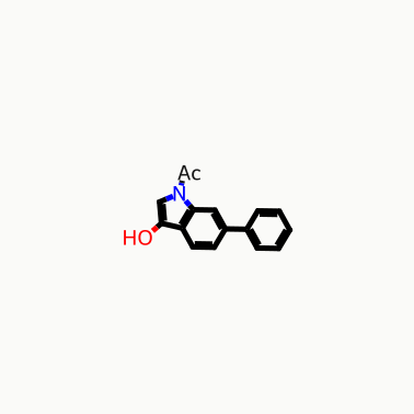 CC(=O)n1cc(O)c2ccc(-c3ccccc3)cc21